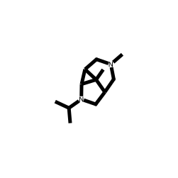 CC(C)N1CC2CN(C)CC3C1C23C